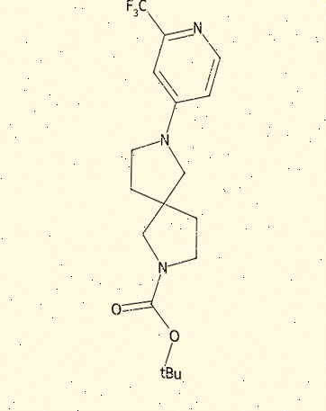 CC(C)(C)OC(=O)N1CCC2(CCN(c3ccnc(C(F)(F)F)c3)C2)C1